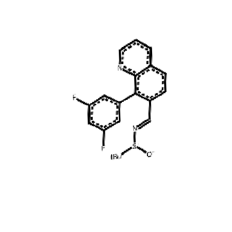 CC(C)(C)[S+]([O-])N=Cc1ccc2cccnc2c1-c1cc(F)cc(F)c1